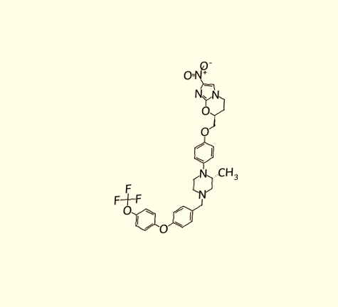 C[C@@H]1CN(Cc2ccc(Oc3ccc(OC(F)(F)F)cc3)cc2)CCN1c1ccc(OC[C@@H]2CCn3cc([N+](=O)[O-])nc3O2)cc1